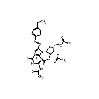 CCc1ccc(/N=N/c2nc3c(=O)[nH]c(NC(C)=O)nc3n2[C@@H]2O[C@H](COC(C)=O)[C@H](OC(C)=O)C2OC(C)=O)cc1